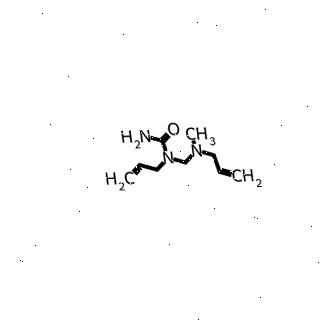 C=CCN(C)CN(CC=C)C(N)=O